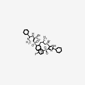 C/N=C(\N/C(=C/S(=O)(=O)c1ccc(Cl)cc1CC(C)C[S+]([O-])c1[nH]c(-c2ccccc2)nc1S(=O)(=O)c1ccc(F)cc1)[S+]([O-])C(C)C)c1ccccc1